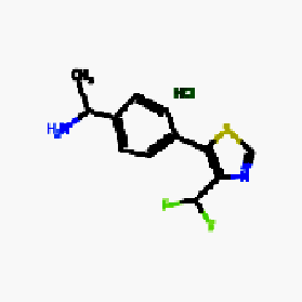 CC(N)c1ccc(-c2scnc2C(F)F)cc1.Cl